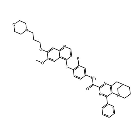 COc1cc2c(Oc3ccc(NC(=O)c4nc5c(c(-c6ccccc6)n4)N4CCCC(C5)C4)cc3F)ccnc2cc1OCCCN1CCOCC1